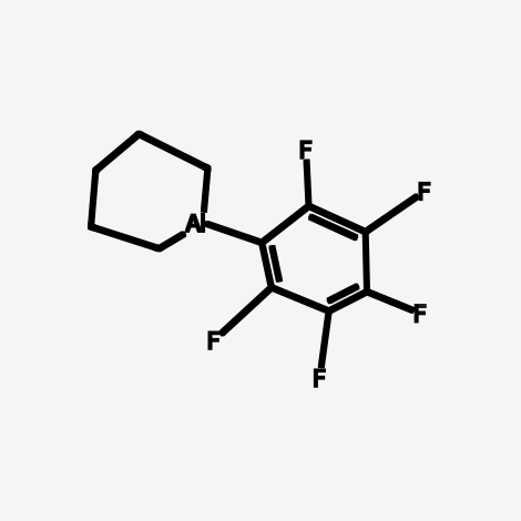 Fc1c(F)c(F)[c]([Al]2[CH2]CCC[CH2]2)c(F)c1F